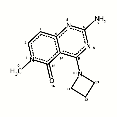 Cn1ccc2nc(N)nc(N3CCC3)c2c1=O